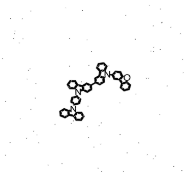 c1ccc2c(c1)oc1ccc(-n3c4ccccc4c4cc(-c5ccc6c(c5)c5ccccc5n6-c5ccc(-n6c7ccccc7c7ccccc76)cc5)ccc43)cc12